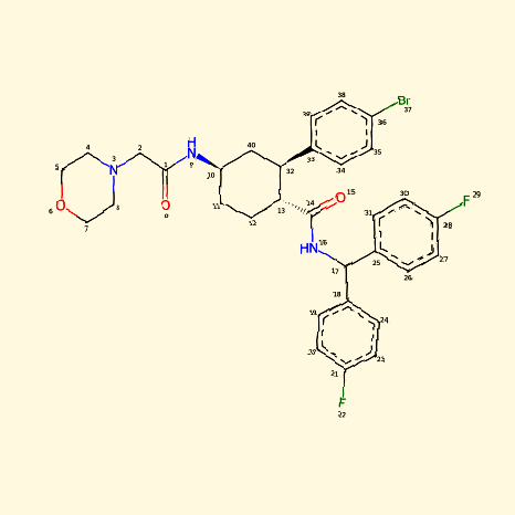 O=C(CN1CCOCC1)N[C@@H]1CC[C@@H](C(=O)NC(c2ccc(F)cc2)c2ccc(F)cc2)[C@H](c2ccc(Br)cc2)C1